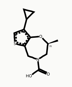 C[C@H]1CN(C(=O)O)Cc2scc(C3CC3)c2O1